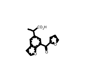 CC(C(=O)O)c1cc(C(=O)c2ccco2)c2occc2c1